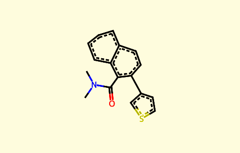 CN(C)C(=O)c1c(-c2ccsc2)ccc2ccccc12